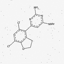 CNc1cc(-c2c(Cl)cc(Cl)c3c2CCO3)nc(N)n1